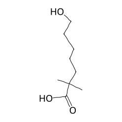 CC(C)(CCCCCO)C(=O)O